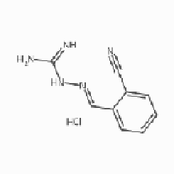 Cl.N#Cc1ccccc1/C=N/NC(=N)N